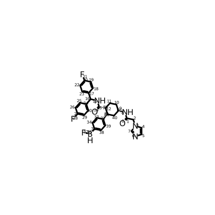 O=C(Cn1ccnc1)N[C@@H]1CC[C@@H](C(=O)NC(c2ccc(F)cc2)c2ccc(F)cc2)[C@H](c2ccc(BF)cc2)C1